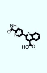 NC(=O)c1ccc(-c2cc(C(=O)O)c3ccccc3n2)cn1